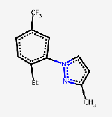 CCc1ccc(C(F)(F)F)cc1-n1ccc(C)n1